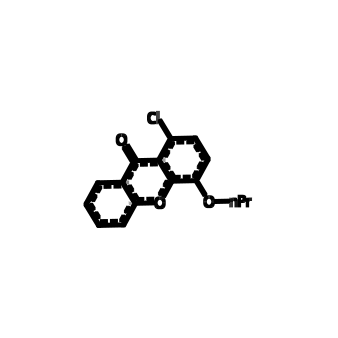 CCCOc1ccc(Cl)c2c(=O)c3ccccc3oc12